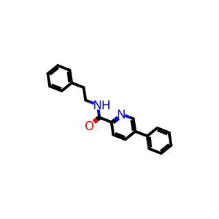 O=C(NCCc1ccccc1)c1ccc(-c2ccccc2)cn1